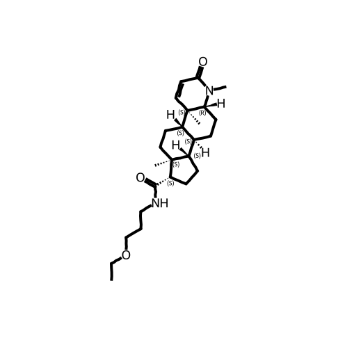 CCOCCCNC(=O)[C@H]1CC[C@H]2[C@@H]3CC[C@H]4N(C)C(=O)C=C[C@]4(C)[C@H]3CC[C@]12C